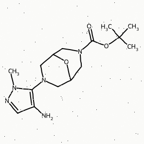 Cn1ncc(N)c1N1CC2CN(C(=O)OC(C)(C)C)CC(C1)O2